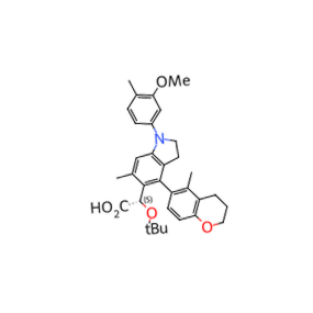 COc1cc(N2CCc3c2cc(C)c([C@H](OC(C)(C)C)C(=O)O)c3-c2ccc3c(c2C)CCCO3)ccc1C